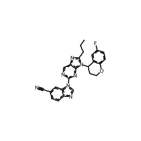 CCCc1nc2cnc(-n3cnc4ccc(C#N)cc43)nc2n1C1CCOc2ccc(F)cc21